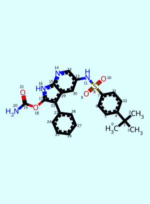 CC(C)(C)c1ccc(S(=O)(=O)Nc2cnc3[nH]c(OC(N)=O)c(-c4ccccc4)c3c2)cc1